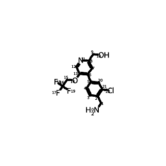 NCc1ccc(-c2cc(CO)ncc2OCC(F)(F)F)cc1Cl